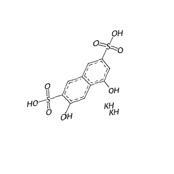 O=S(=O)(O)c1cc(O)c2cc(O)c(S(=O)(=O)O)cc2c1.[KH].[KH]